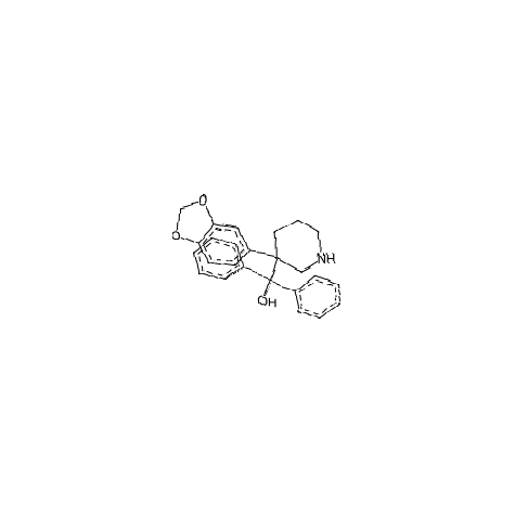 OC(c1ccccc1)(c1ccccc1)C1(c2ccc3c(c2)OCO3)CCCNC1